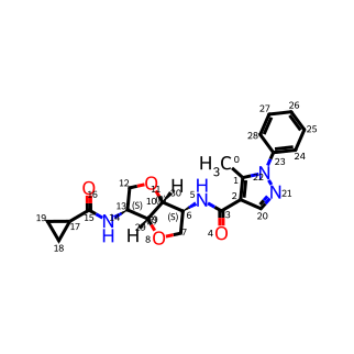 Cc1c(C(=O)N[C@H]2CO[C@H]3[C@@H]2OC[C@@H]3NC(=O)C2CC2)cnn1-c1ccccc1